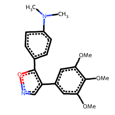 COc1cc(-c2cnoc2-c2ccc(N(C)C)cc2)cc(OC)c1OC